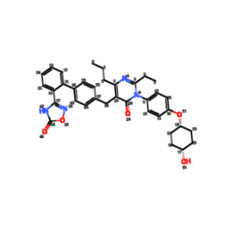 CCCc1nc(CC)n(-c2ccc(O[C@H]3CC[C@@H](O)CC3)cc2)c(=O)c1Cc1ccc(-c2ccccc2-c2noc(=O)[nH]2)cc1